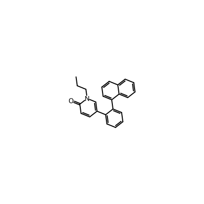 CCCn1cc(-c2ccccc2-c2cccc3ccccc23)ccc1=O